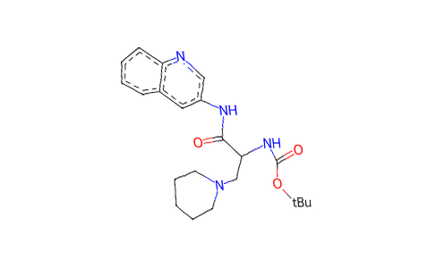 CC(C)(C)OC(=O)NC(CN1CCCCC1)C(=O)Nc1cnc2ccccc2c1